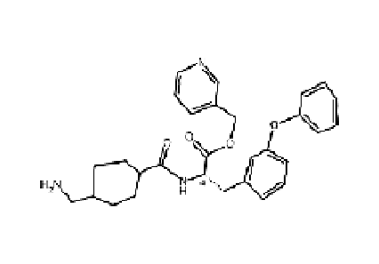 NCC1CCC(C(=O)N[C@@H](Cc2cccc(Oc3ccccc3)c2)C(=O)OCc2cccnc2)CC1